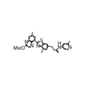 C=C(CCc1cc(C)c2nc(-c3cc(C)cc4nc(OC)cnc34)sc2c1)Nc1ccnc(C)c1